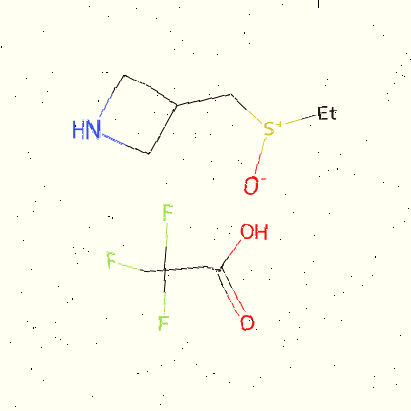 CC[S+]([O-])CC1CNC1.O=C(O)C(F)(F)F